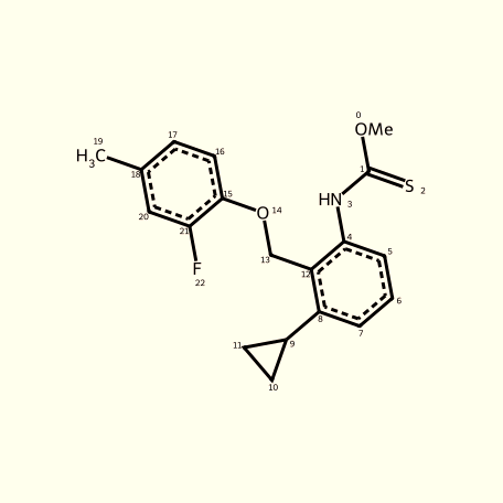 COC(=S)Nc1cccc(C2CC2)c1COc1ccc(C)cc1F